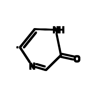 O=c1cn[c]c[nH]1